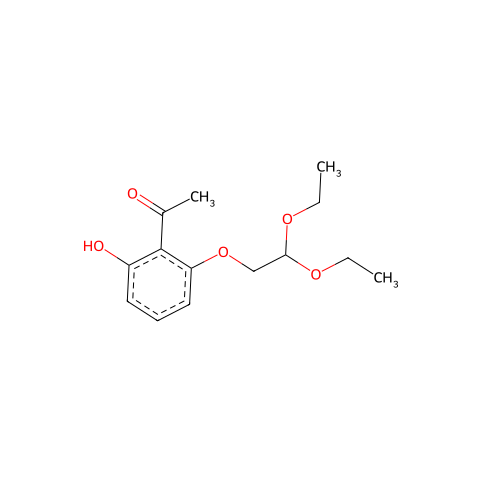 CCOC(COc1cccc(O)c1C(C)=O)OCC